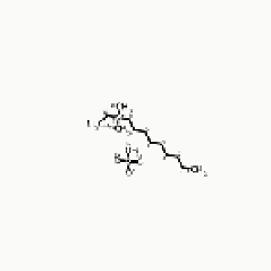 CCCCCCCCC[N+](C)(C)CC.O=S(=O)([O-])O